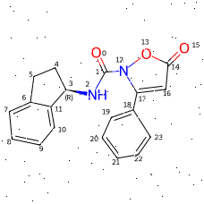 O=C(N[C@@H]1CCc2ccccc21)n1oc(=O)cc1-c1ccccc1